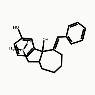 CN(C)CC1CCCCC(=Cc2ccccc2)C1(O)c1cccc(O)c1